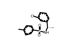 Cc1ccc(S(=O)(=O)N[C@@H](C)c2[c]ccc(Cl)c2)cc1